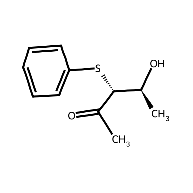 CC(=O)[C@H](Sc1ccccc1)[C@H](C)O